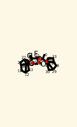 CCC1(OC(=O)COC23CC4CC(C2)C(OC(=O)C(C)(F)F)C(C4)C3)C2CC3CC(C2)CC1C3